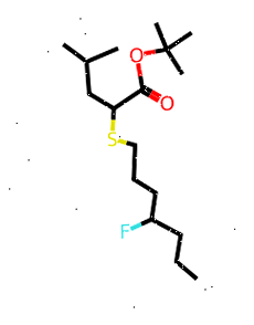 CCCC(F)CCCSC(CC(C)C)C(=O)OC(C)(C)C